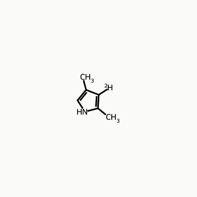 [2H]c1c(C)c[nH]c1C